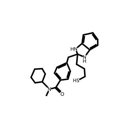 CN(C(=O)c1ccc(CC2(CCCS)Nc3ccccc3N2)cc1)C1CCCCC1